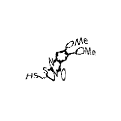 COc1cc2nc3n(c(=O)c2cc1OC)C[C@H](CS)S3